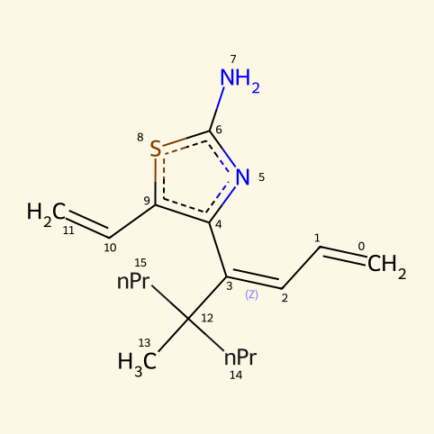 C=C/C=C(\c1nc(N)sc1C=C)C(C)(CCC)CCC